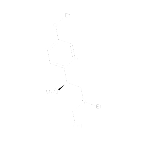 CCOc1ccc([C@@H](CN(CC)CO)NC)cc1